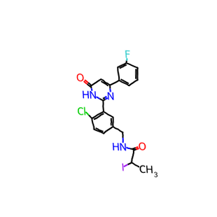 CC(I)C(=O)NCc1ccc(Cl)c(-c2nc(-c3cccc(F)c3)cc(=O)[nH]2)c1